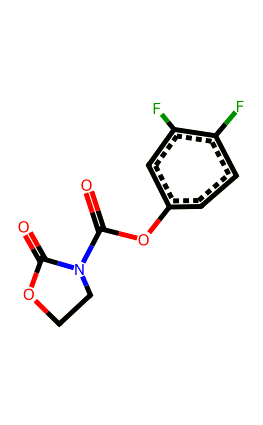 O=C1OCCN1C(=O)Oc1ccc(F)c(F)c1